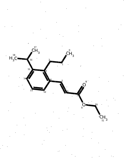 CCCc1c(/C=C/C(=O)OCC)cccc1C(C)C